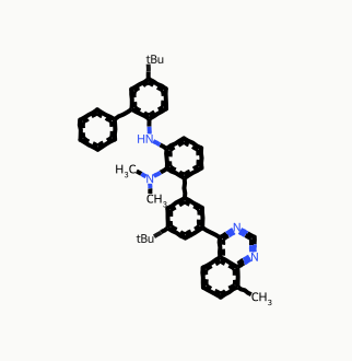 Cc1cccc2c(-c3cc(-c4cccc(Nc5ccc(C(C)(C)C)cc5-c5ccccc5)c4N(C)C)cc(C(C)(C)C)c3)ncnc12